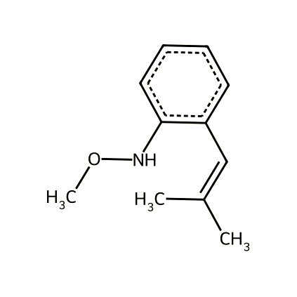 CONc1ccccc1C=C(C)C